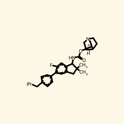 CC(C)Cc1ccc(-c2cc3c(cc2F)C(NC(=O)O[C@H]2CN4CCC2CC4)C(C)(C)C3)cc1